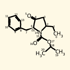 CCC1CC(=O)[C@H](Cc2ccccc2)N1C(=O)OC(C)C